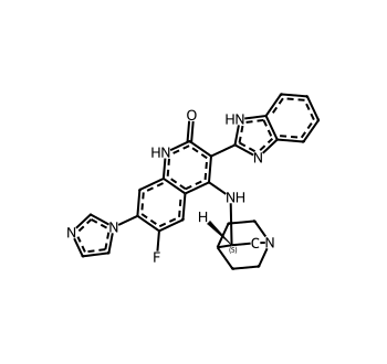 O=c1[nH]c2cc(-n3ccnc3)c(F)cc2c(N[C@@H]2CN3CCC2CC3)c1-c1nc2ccccc2[nH]1